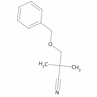 CC(C)(C#N)COCc1ccccc1